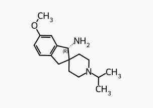 COc1ccc2c(c1)[C@H](N)C1(CCN(C(C)C)CC1)C2